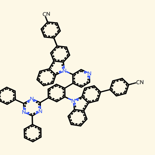 N#Cc1ccc(-c2ccc3c(c2)c2ccccc2n3-c2cnccc2-c2ccc(-c3nc(-c4ccccc4)nc(-c4ccccc4)n3)cc2-n2c3ccccc3c3cc(-c4ccc(C#N)cc4)ccc32)cc1